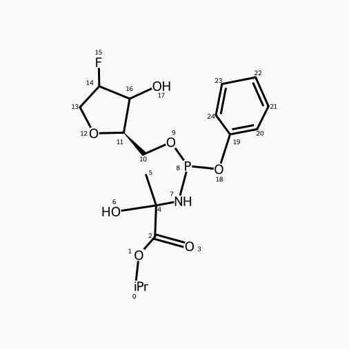 CC(C)OC(=O)C(C)(O)NP(OC[C@H]1OCC(F)C1O)Oc1ccccc1